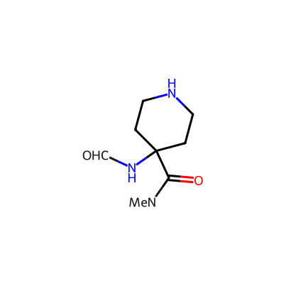 CNC(=O)C1(NC=O)CCNCC1